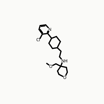 COCC1(NCCC2CCC(c3ncccc3Cl)CC2)CCOCC1